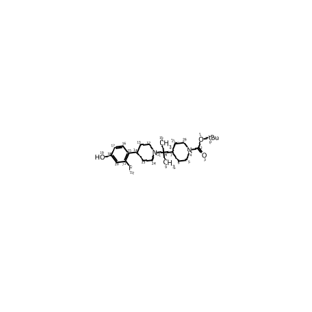 CC(C)(C)OC(=O)N1CCC(C(C)(C)N2CCC(c3ccc(O)cc3F)CC2)CC1